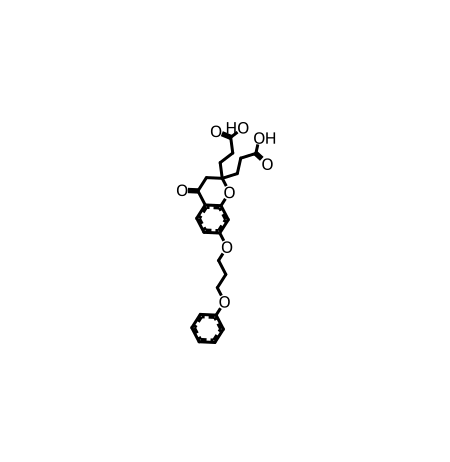 O=C(O)CCC1(CCC(=O)O)CC(=O)c2ccc(OCCCOc3ccccc3)cc2O1